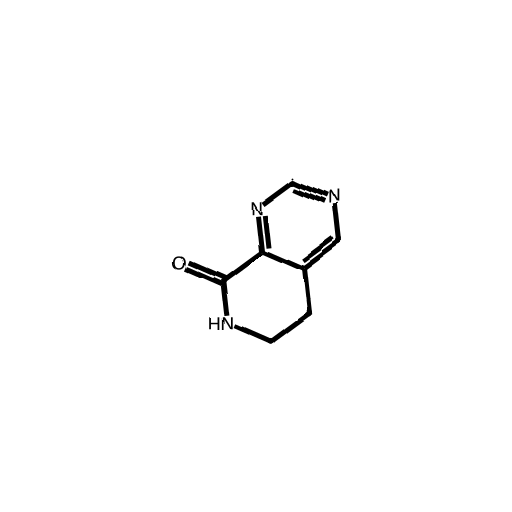 O=C1NCCc2cn[c]nc21